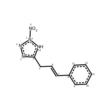 O=[N+]([O-])[n+]1nnc(CC=Cc2ccccc2)[nH]1